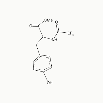 COC(=O)C(Cc1ccc(O)cc1)NC(=O)C(F)(F)F